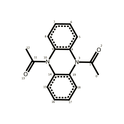 CC(=O)N1c2ccccc2N(C(C)=O)c2ccccc21